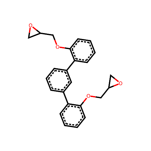 c1cc(-c2ccccc2OCC2CO2)cc(-c2ccccc2OCC2CO2)c1